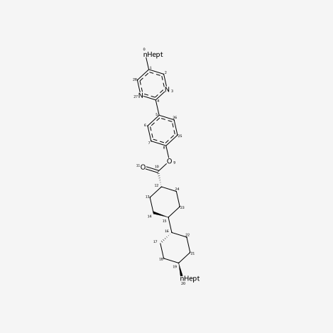 CCCCCCCc1cnc(-c2ccc(OC(=O)[C@H]3CC[C@H]([C@H]4CC[C@H](CCCCCCC)CC4)CC3)cc2)nc1